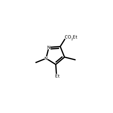 CCOC(=O)c1nn(C)c(CC)c1C